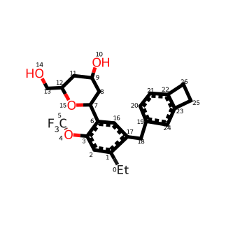 CCc1cc(OC(F)(F)F)c(C2CC(O)CC(CO)O2)cc1Cc1ccc2c(c1)CC2